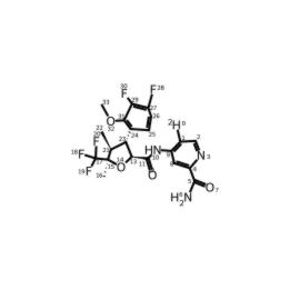 [2H]c1cnc(C(N)=O)cc1NC(=O)[C@H]1O[C@@](C)(C(F)(F)F)[C@@H](C)[C@@H]1c1ccc(F)c(F)c1OC